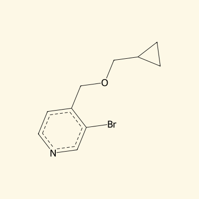 Brc1cnccc1COCC1CC1